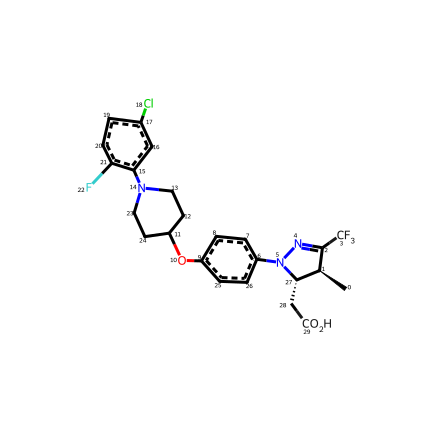 C[C@@H]1C(C(F)(F)F)=NN(c2ccc(OC3CCN(c4cc(Cl)ccc4F)CC3)cc2)[C@H]1CC(=O)O